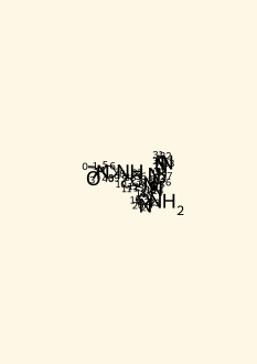 C=CC(=O)N1CCC(N[C@H]2CCc3cc(-n4c(-c5cccnc5N)nc5ccc(-n6cccn6)nc54)ccc32)CC1